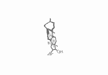 CC1CC[C@@]2(C)C(=CC[C@@H]3[C@H]2CC[C@]2(C)C(O)C(Br)C[C@@H]32)C1